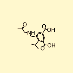 CC(=O)CNCc1cc(C(=O)O)cc(C(=O)O)c1C(C)C